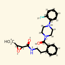 O=C(O)C1OC1C(=O)NCCc1ccccc1C(=O)N1CCN(c2ccccc2F)CC1